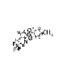 Cc1ccc(S(=O)(=O)n2c[c]c3cc(C(F)(F)F)cnc32)cc1